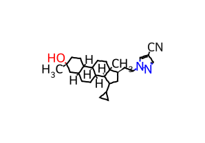 C[C@@]1(O)CC[C@H]2[C@H](CC[C@@H]3[C@@H]2CC[C@]2(C)[C@@H](CCn4cc(C#N)cn4)CC(C4CC4)[C@@H]32)C1